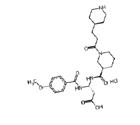 COc1ccc(C(=O)N[C@@H](CC(=O)O)NC(=O)[C@@H]2CCCN(C(=O)CCC3CCNCC3)C2)cc1.Cl